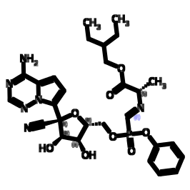 CCC(CC)COC(=O)[C@H](C)/N=C/P(=O)(OC[C@H]1O[C@@](C#N)(c2ccc3c(N)ncnn23)[C@H](O)[C@@H]1O)Oc1ccccc1